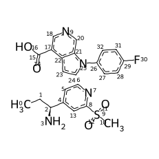 CC[C@H](N)c1ccnc(S(C)(=O)=O)c1.O=C(O)c1cncc2c1ccn2-c1ccc(F)cc1